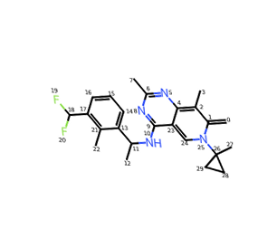 C=C1C(C)=c2nc(C)nc(NC(C)c3cccc(C(F)F)c3C)c2=CN1C1(C)CC1